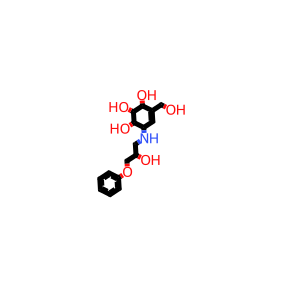 OCC1=CC(NCC(O)COc2ccccc2)C(O)C(O)C1O